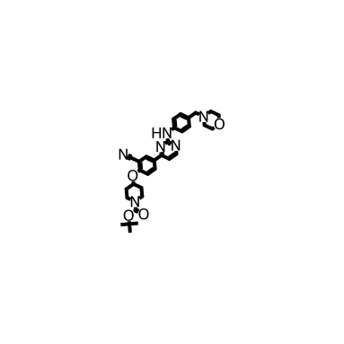 CC(C)(C)OC(=O)N1CCC(Oc2ccc(-c3ccnc(Nc4ccc(CN5CCOCC5)cc4)n3)cc2C#N)CC1